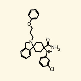 NC(=O)C1(Nc2cccc(Cl)c2)CCC2(CC1)c1ccccc1CN2CCCOc1ccccc1